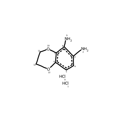 Cl.Cl.Nc1ccc2c(c1N)OCCO2